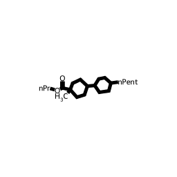 CCCCCC1CCC(C2CCC(C)(C(=O)OCCC)CC2)CC1